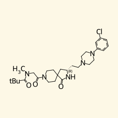 CN(CC(=O)N1CCC2(CC1)C[C@H](CCN1CCN(c3cccc(Cl)c3)CC1)NC2=O)C(=O)C(C)(C)C